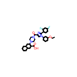 CCOc1cccc(-n2cc(C(=O)N3CCN(c4cc5ccccc5cc4C(=O)O)CC3)nc2-c2ccc(F)cc2F)c1